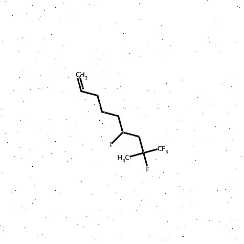 C=CCCCC(I)CC(C)(F)C(F)(F)F